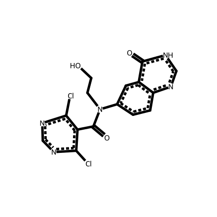 O=C(c1c(Cl)ncnc1Cl)N(CCO)c1ccc2nc[nH]c(=O)c2c1